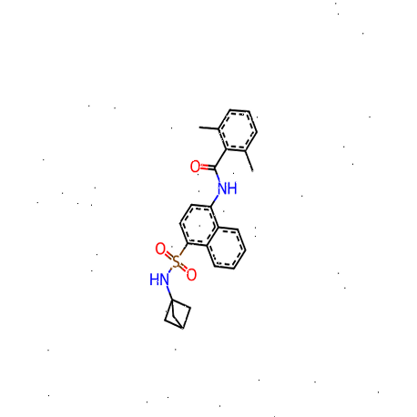 Cc1cccc(C)c1C(=O)Nc1ccc(S(=O)(=O)NC23CC(C2)C3)c2ccccc12